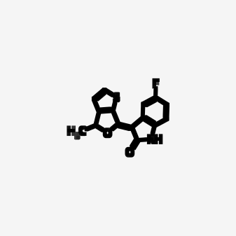 CC1O/C(=C2\C(=O)Nc3ccc(F)cc32)c2sccc21